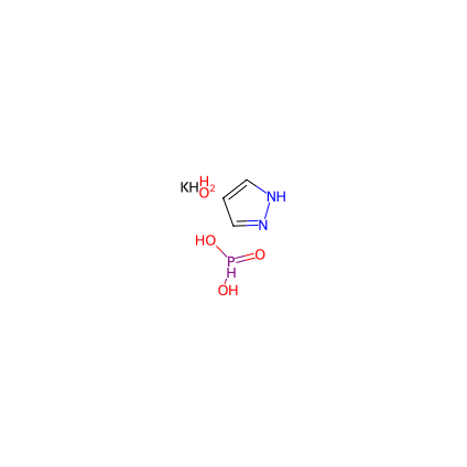 O.O=[PH](O)O.[KH].c1cn[nH]c1